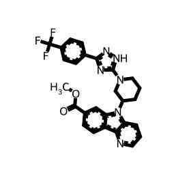 COC(=O)c1ccc2c3ncccc3n(C3CCCN(c4nc(-c5ccc(C(F)(F)F)cc5)n[nH]4)C3)c2c1